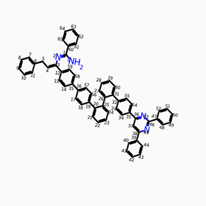 N/C(=N\C(=C/Cc1ccccc1)c1ccc(-c2ccc(-c3ccccc3-c3ccccc3-c3ccc(-c4cc(-c5ccccc5)nc(-c5ccccc5)n4)cc3)cc2)cc1)c1ccccc1